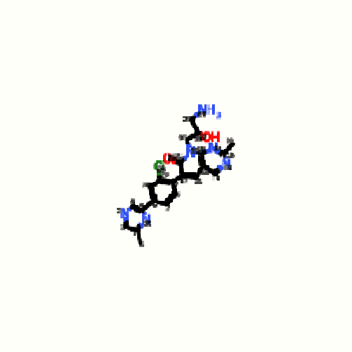 Cc1cncc(-c2ccc(-c3cc4cnc(C)nc4n(CC(O)CN)c3=O)c(Cl)c2)n1